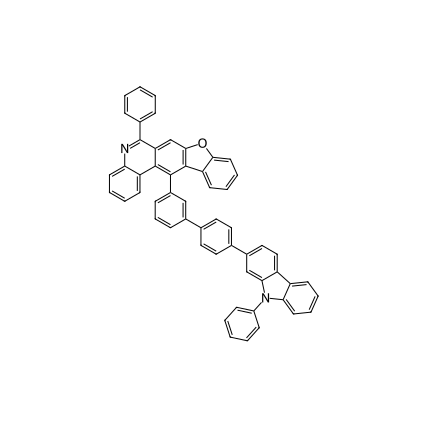 c1ccc(-c2nc3ccccc3c3c(-c4cccc(-c5ccc(-c6ccc7c8ccccc8n(-c8ccccc8)c7c6)cc5)c4)c4c(cc23)oc2ccccc24)cc1